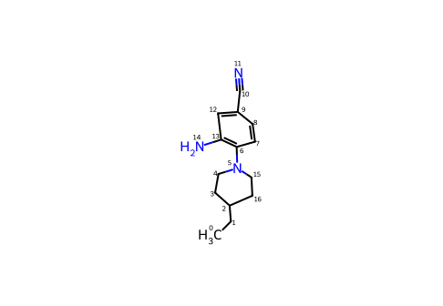 CCC1CCN(c2ccc(C#N)cc2N)CC1